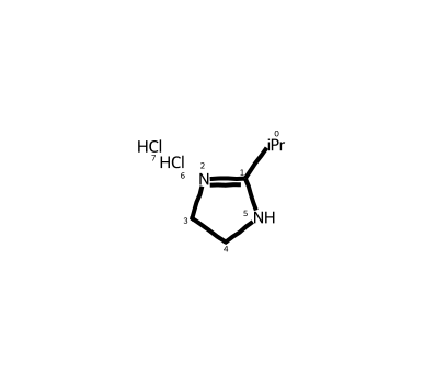 CC(C)C1=NCCN1.Cl.Cl